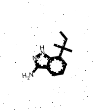 CCC(C)(C)c1cccc2c(N)n[nH]c12